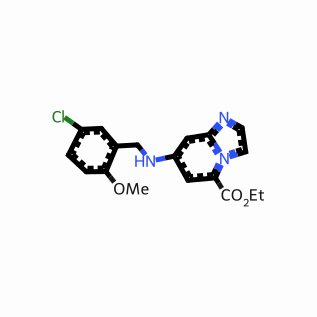 CCOC(=O)c1cc(NCc2cc(Cl)ccc2OC)cc2nccn12